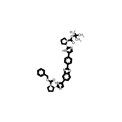 CC(C)(C)OC(=O)N1CCC[C@H]1c1ncc(-c2ccc(-c3nc4cc(-c5cnc([C@@H]6CCCN6C(=O)OCc6ccccc6)[nH]5)ccc4s3)cc2)[nH]1